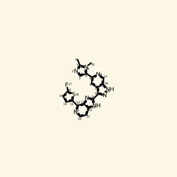 Cc1ncc(-c2cc3c(-c4nc5c(-c6ccc(F)s6)nccc5[nH]4)n[nH]c3cn2)n1C